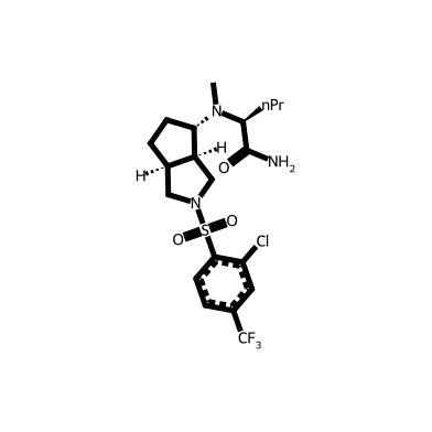 CCC[C@@H](C(N)=O)N(C)[C@H]1CC[C@@H]2CN(S(=O)(=O)c3ccc(C(F)(F)F)cc3Cl)C[C@@H]21